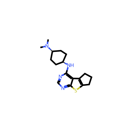 CN(C)[C@H]1CC[C@@H](Nc2ncnc3sc4c(c23)CCC4)CC1